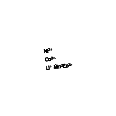 [Co+2].[Co-2].[Li+].[Mn+2].[Ni+2]